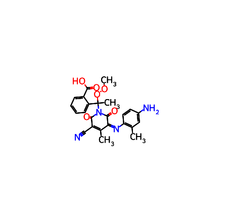 COOC(C)(c1ccccc1C(=O)O)N1C(=O)C(C#N)=C(C)/C(=N/c2ccc(N)cc2C)C1=O